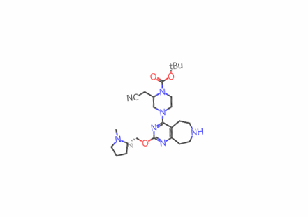 CN1CCC[C@H]1COc1nc2c(c(N3CCN(C(=O)OC(C)(C)C)C(CC#N)C3)n1)CCNCC2